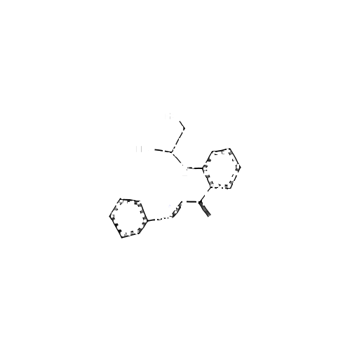 CC(CO)Nc1ccccc1C(=O)/C=C/c1ccccc1